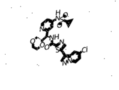 O=C(N[C@H](c1cc(NS(=O)(=O)C2CC2)ccn1)[C@H]1COCCO1)c1ncc(-c2cnn3ccc(Cl)cc23)s1